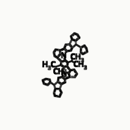 CC(C)c1c2c3cccc4c5cc6c(cc5n(c2c(C(C)C)c2c5cccc7c8cc9c(cc8n(c12)c75)C(c1ccccc1)c1ccccc1-9)c43)C(c1ccccc1)c1ccccc1-6